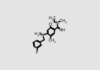 CCN(C)C(=N)c1cc(C)c(N(C)Cc2cccc(F)c2)cc1Cl